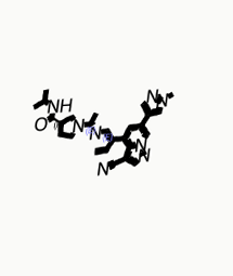 C=C/C(=C\N=C(/C)N1CC[C@@H](C(=O)NC(C)C)C1)c1cc(-c2cnn(C)c2)cn2ncc(C#N)c12